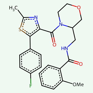 COc1ccccc1C(=O)NCC1COCCN1C(=O)c1nc(C)sc1-c1ccc(F)cc1